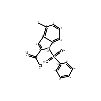 Cc1cccc2c1cc(C(=O)Cl)n2S(=O)(=O)c1ccccc1